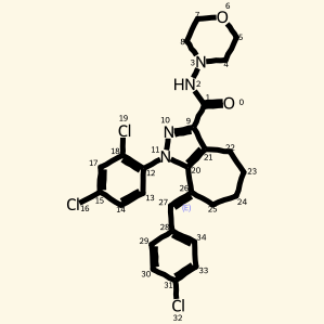 O=C(NN1CCOCC1)c1nn(-c2ccc(Cl)cc2Cl)c2c1CCCC/C2=C\c1ccc(Cl)cc1